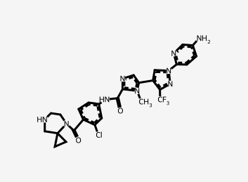 Cn1c(-c2cn(-c3ccc(N)cn3)nc2C(F)(F)F)cnc1C(=O)Nc1ccc(C(=O)N2CCNCC23CC3)c(Cl)c1